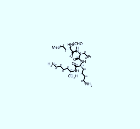 CSCC[C@H](NC=O)C(=O)N[C@@H](CC(C)C)C(=O)N[C@@H](CCCCN)C(=O)N[C@@H](CCCCN)C(=O)O